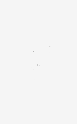 CCOC(=O)N[C@@H](C)[C]=O